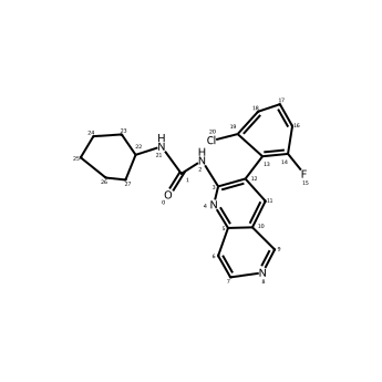 O=C(Nc1nc2ccncc2cc1-c1c(F)cccc1Cl)NC1CCCCC1